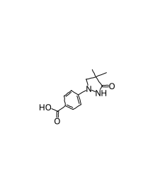 CC1(C)CN(c2ccc(C(=O)O)cc2)NC1=O